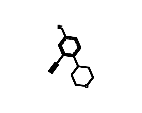 C#Cc1cc(Br)ccc1C1CCOCC1